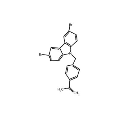 C=C(C)c1ccc(Cn2c3ccc(Br)cc3c3cc(Br)ccc32)cc1